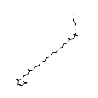 CCCCNCCSSC(C)(C)CC(=O)NCCOCCOCCOCCNC(=O)CCN1C(=O)C=CC1=O